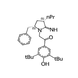 CCC[C@H]1C[C@@H](Cc2ccccc2)N(CC(=O)c2cc(C(C)(C)C)c(O)c(C(C)(C)C)c2)C1=N